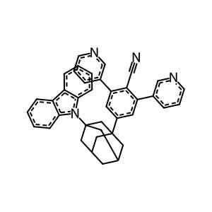 N#Cc1c(-c2cccnc2)cc(C23CC4CC(C2)CC(n2c5ccccc5c5ccccc52)(C4)C3)cc1-c1cccnc1